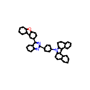 c1ccc2c(c1)ccc1c2c2c3ccccc3ccc2n1-c1ccc(-c2nc(-c3ccc4oc5ccccc5c4c3)c3ccccc3n2)cc1